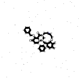 O=C1c2c(OCc3ccccc3)c(=O)ccn2N2CN1C/C=C\COc1c(ccc(F)c1F)[C@@H]2c1ccccc1